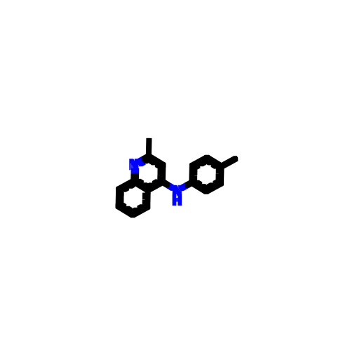 Cc1ccc(Nc2cc(C)nc3ccccc23)cc1